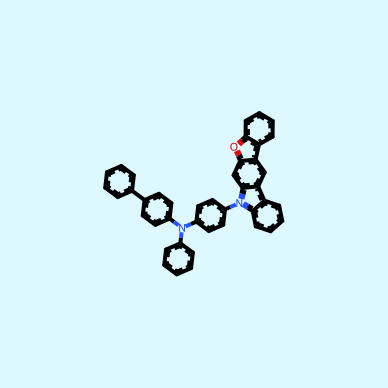 c1ccc(-c2ccc(N(c3ccccc3)c3ccc(-n4c5ccccc5c5cc6c(cc54)oc4ccccc46)cc3)cc2)cc1